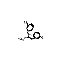 O=C(O)c1cc2cc(F)ccc2n1Cc1cccc(Cl)c1